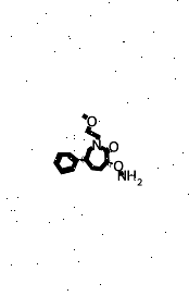 COCCN1C[C@H](c2ccccc2)CC[C@@H](ON)C1=O